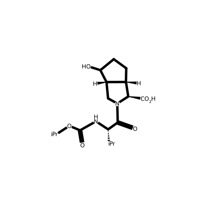 CC(C)OC(=O)N[C@H](C(=O)N1C[C@@H]2C(O)CC[C@@H]2[C@H]1C(=O)O)C(C)C